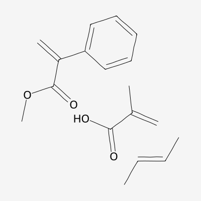 C=C(C(=O)OC)c1ccccc1.C=C(C)C(=O)O.CC=CC